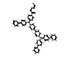 C=C(/C=C\C=C/C)c1ccc(N(c2ccc(-c3ccccc3)cc2)c2ccc(-c3ccc(N(c4ccc(-c5ccccc5)cc4)c4ccc(-c5ccccc5)cc4)cc3)cc2)cc1